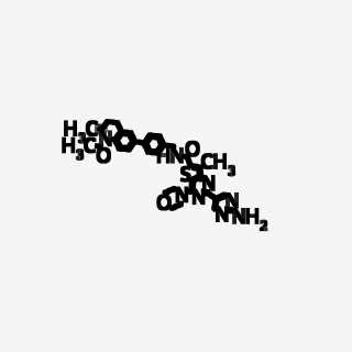 CC(=O)N1c2ccc(-c3ccc(CNC(=O)c4sc5c(N6CCOCC6)nc(-c6cnc(N)nc6)nc5c4C)cc3)cc2CC[C@@H]1C